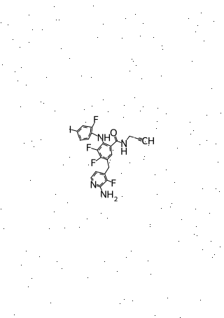 C#CCNC(=O)c1cc(Cc2ccnc(N)c2F)c(F)c(F)c1Nc1ccc(I)cc1F